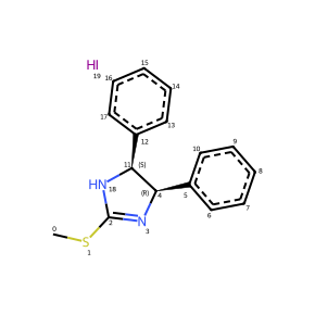 CSC1=N[C@H](c2ccccc2)[C@H](c2ccccc2)N1.I